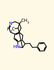 CC1C2NC3=CC4=C(CC3C2CCc2ccccc2)CC1(C)C/N=C\C4